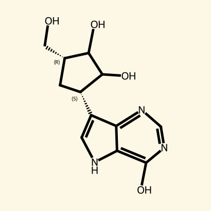 OC[C@H]1C[C@@H](c2c[nH]c3c(O)ncnc23)C(O)C1O